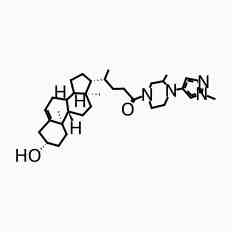 CC(CCC(=O)N1CCN(c2cnn(C)c2)C(C)C1)[C@H]1CC[C@H]2[C@@H]3CC=C4C[C@@H](O)CC[C@]4(C)[C@H]3CC[C@]12C